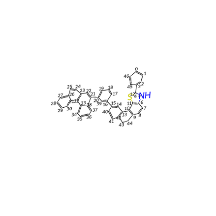 c1ccc(C2Nc3ccc4c(c3S2)-c2cc(-c3cccc(-c5cc6ccc7ccccc7c6c6ccccc56)c3)ccc2CC4)cc1